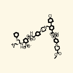 CCOC(=O)C1CCN(c2ccc(S(=O)(=O)NC(=O)c3ccc(-c4ccc(Cl)cc4)c(CN4CCN(c5ccc(C(=O)NS(=O)(=O)c6ccc(N[C@H](CCN(C)C)CSc7ccccc7)c([N+](=O)[O-])c6)cc5)CC4)c3)cc2)CC1